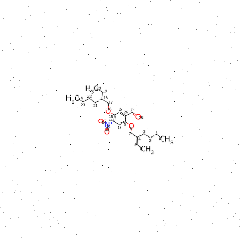 CCCCC(CC)COc1cc([N+](=O)[O-])c(OCC(CC)CCCC)cc1C=O